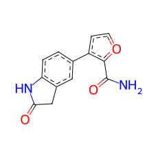 NC(=O)c1occc1-c1ccc2c(c1)CC(=O)N2